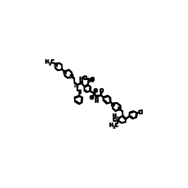 CN1CCC(N2CCN(CC[C@H](CSc3ccccc3)Nc3ccc(S(=O)(=O)NC(=O)c4ccc(N5CCN(CC6=C(c7ccc(Cl)cc7)CCC(C)(C)C6)CC5)cc4)cc3[SH](=O)=O)CC2)CC1